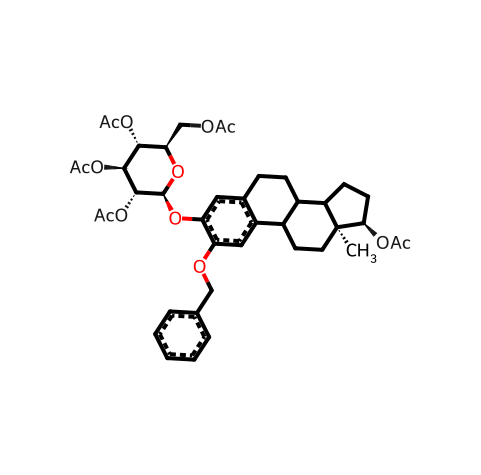 CC(=O)OC[C@H]1O[C@@H](Oc2cc3c(cc2OCc2ccccc2)C2CC[C@@]4(C)C(CC[C@H]4OC(C)=O)C2CC3)[C@H](OC(C)=O)[C@@H](OC(C)=O)[C@@H]1OC(C)=O